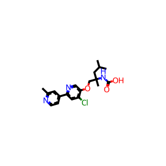 Cc1cc(-c2cc(Cl)c(OCC(C)(CC(C)C)NC(=O)O)cn2)ccn1